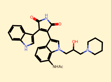 CC(=O)Nc1cccc2c(C3=C(c4c[nH]c5ccccc45)C(=O)NC3=O)cn(CC(O)CN3CCCCC3)c12